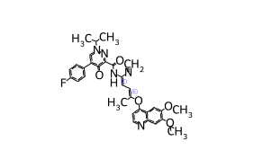 C=N/C(=C\C=C(/C)Oc1ccnc2cc(OC)c(OC)cc12)NC(=O)c1nn(C(C)C)cc(-c2ccc(F)cc2)c1=O